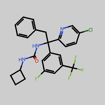 O=C(NC1CCC1)NC(Cc1ccccc1)(c1cc(F)cc(C(F)(F)F)c1)c1ccc(Cl)cn1